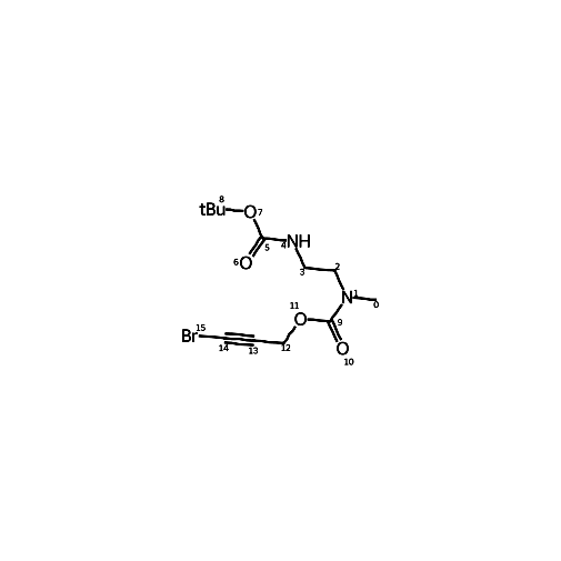 CN(CCNC(=O)OC(C)(C)C)C(=O)OCC#CBr